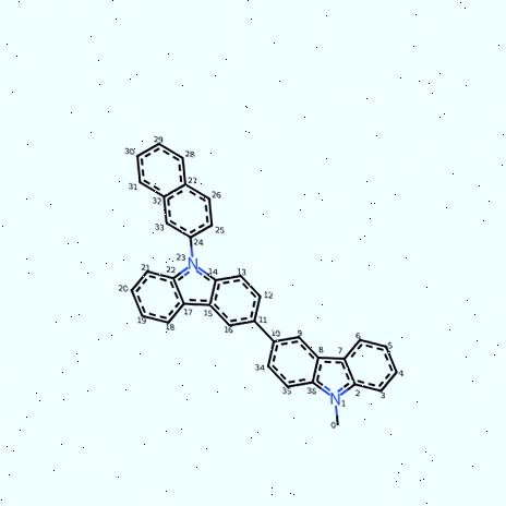 Cn1c2ccccc2c2cc(-c3ccc4c(c3)c3ccccc3n4-c3ccc4ccccc4c3)ccc21